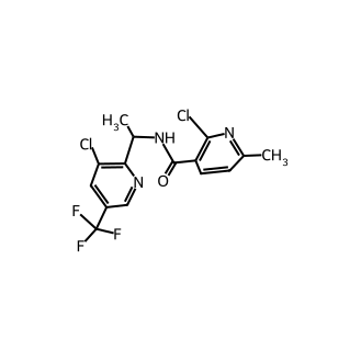 Cc1ccc(C(=O)NC(C)c2ncc(C(F)(F)F)cc2Cl)c(Cl)n1